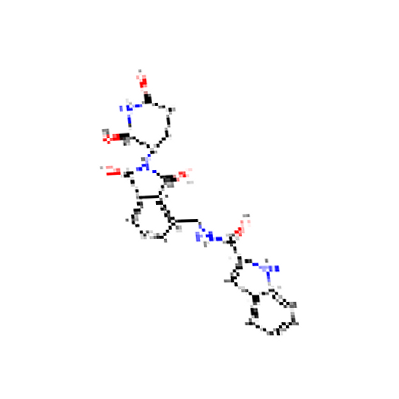 O=C1CCC(N2C(=O)c3cccc(CNC(=O)c4cc5ccccc5[nH]4)c3C2=O)C(=O)N1